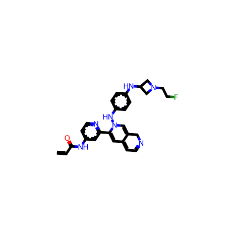 C=CC(=O)Nc1ccnc(C2=CC3=CC=NCC3=CN2Nc2ccc(NC3CN(CCF)C3)cc2)c1